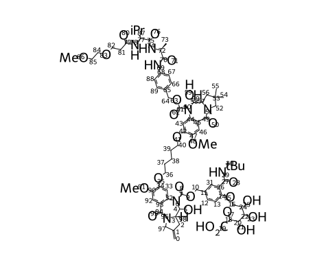 C=C1C[C@H]2C(O)N(C(=O)OCc3ccc(O[C@@H]4O[C@H](C(=O)O)[C@@H](O)[C@H](O)[C@H]4O)c(C(=O)NC(C)(C)C)c3)c3cc(OCCCCCOc4cc5c(cc4OC)C(=O)N4CC(C)(C)C[C@H]4C(O)N5C(=O)OCc4ccc(NC(=O)[C@H](C)NC(=O)[C@@H](NC(=O)CCOCCOC)C(C)C)cc4)c(OC)cc3C(=O)N2C1